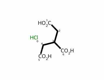 Cl.O=C(O)CC(CC(=O)O)C(=O)O